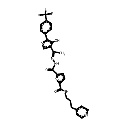 C/C(=N\NC(=O)c1ccc(C(=O)NCCCc2ccncc2)s1)c1csc(-c2ccc(C(F)(F)F)cc2)c1O